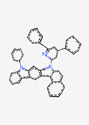 c1ccc(-c2cc(-c3ccccc3)nc(-n3c4cc5c(cc4c4c6ccccc6ccc43)c3ccccc3n5-c3ccccc3)c2)cc1